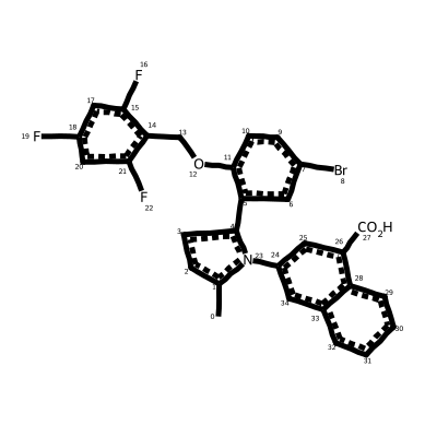 Cc1ccc(-c2cc(Br)ccc2OCc2c(F)cc(F)cc2F)n1-c1cc(C(=O)O)c2ccccc2c1